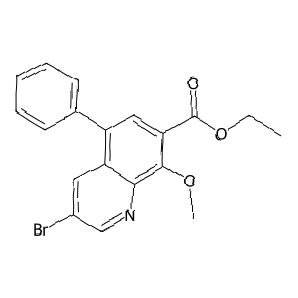 CCOC(=O)c1cc(-c2ccccc2)c2cc(Br)cnc2c1OC